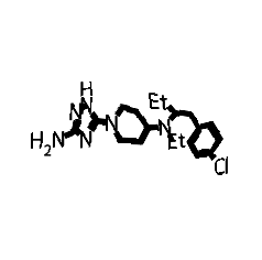 CCC(Cc1ccc(Cl)cc1)N(CC)C1CCN(c2nc(N)n[nH]2)CC1